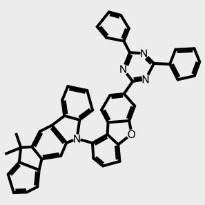 CC1(C)c2ccccc2-c2cc3c(cc21)c1ccccc1n3-c1cccc2oc3cc(-c4nc(-c5ccccc5)nc(-c5ccccc5)n4)ccc3c12